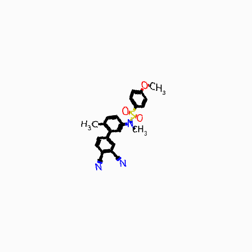 COc1ccc(S(=O)(=O)N(C)c2ccc(C)c(-c3ccc(C#N)c(C#N)c3)c2)cc1